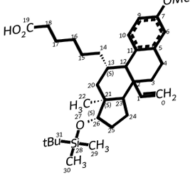 C=CC12CCc3cc(OC)ccc3C1[C@@H](CCCCCC(=O)O)C[C@@]1(C)C2CC[C@@H]1O[Si](C)(C)C(C)(C)C